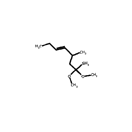 CCC=CC(C)CC([SiH3])(OC)OC